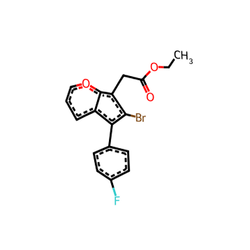 CCOC(=O)Cc1c2occcc-2c(-c2ccc(F)cc2)c1Br